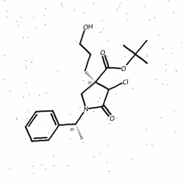 C[C@H](c1ccccc1)N1C[C@@](CCCO)(C(=O)OC(C)(C)C)C(Cl)C1=O